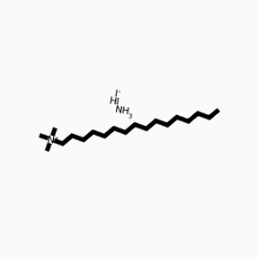 CCCCCCCCCCCCCCCC[N+](C)(C)C.I.N.[I-]